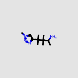 CC(N)C(C)(C)C(C)(C)c1cn(C)nn1